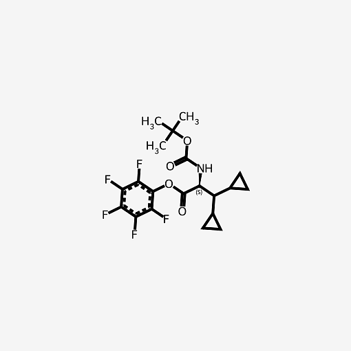 CC(C)(C)OC(=O)N[C@H](C(=O)Oc1c(F)c(F)c(F)c(F)c1F)C(C1CC1)C1CC1